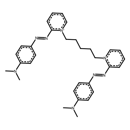 CN(C)c1ccc(/N=N/c2cccc[n+]2CCCCC[n+]2ccccc2/N=N/c2ccc(N(C)C)cc2)cc1